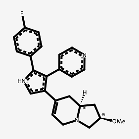 CO[C@@H]1C[C@@H]2CC(c3c[nH]c(-c4ccc(F)cc4)c3-c3ccncc3)=CCN2C1